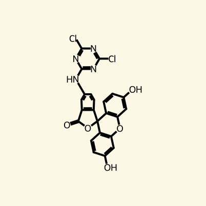 O=C1OC2(c3ccc(O)cc3Oc3cc(O)ccc32)c2ccc(Nc3nc(Cl)nc(Cl)n3)cc21